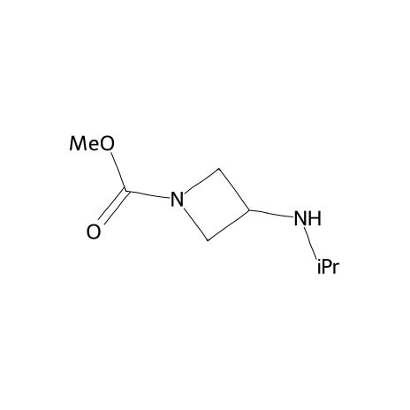 COC(=O)N1CC(NC(C)C)C1